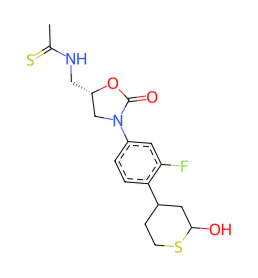 CC(=S)NC[C@H]1CN(c2ccc(C3CCSC(O)C3)c(F)c2)C(=O)O1